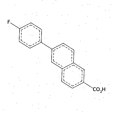 O=C(O)c1ccc2cc(-c3ccc(F)cc3)ccc2c1